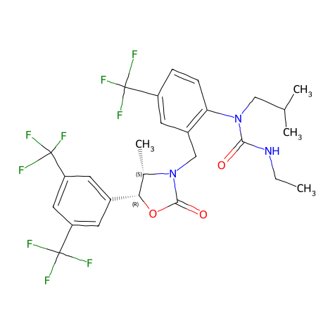 CCNC(=O)N(CC(C)C)c1ccc(C(F)(F)F)cc1CN1C(=O)O[C@H](c2cc(C(F)(F)F)cc(C(F)(F)F)c2)[C@@H]1C